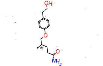 C[C@H](CCC(N)=O)COc1ccc([CH]CO)cc1